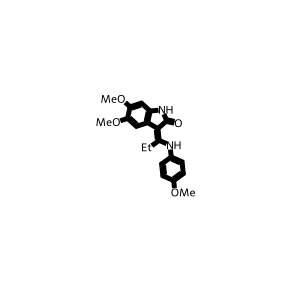 CC/C(Nc1ccc(OC)cc1)=C1/C(=O)Nc2cc(OC)c(OC)cc21